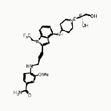 COc1cc(C(N)=O)ccc1NCC#Cc1cc2c(NC3CCN(C[C@@H](O)CO)CC3)cccc2n1CC(F)(F)F